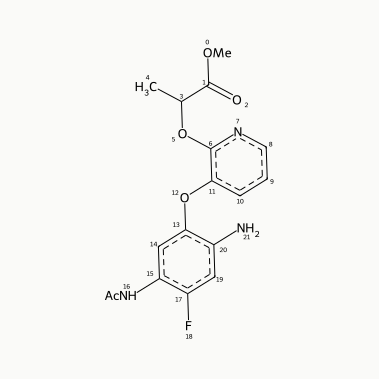 COC(=O)C(C)Oc1ncccc1Oc1cc(NC(C)=O)c(F)cc1N